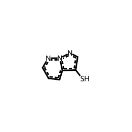 Sc1cnn2ncccc12